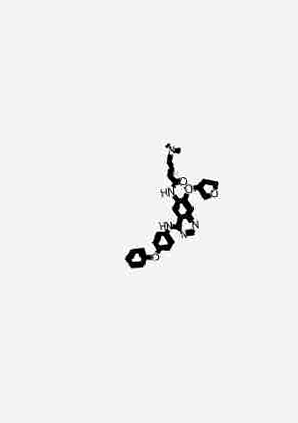 CN(C)C/C=C/C(=O)Nc1cc2c(Nc3ccc(Oc4ccccc4)cc3)ncnc2cc1OC1CCOC1